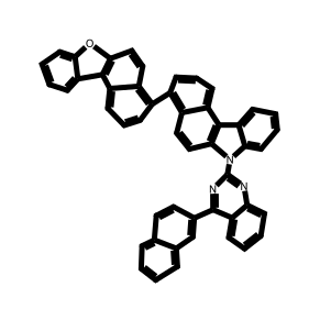 c1ccc2cc(-c3nc(-n4c5ccccc5c5c6cccc(-c7cccc8c7ccc7oc9ccccc9c78)c6ccc54)nc4ccccc34)ccc2c1